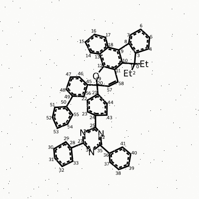 CCC1(CC)c2ccccc2-c2c1c1c(c3ccccc23)OC(c2ccc(-c3nc(-c4ccccc4)nc(-c4ccccc4)n3)cc2)(c2cccc(-c3ccccc3)c2)C=C1